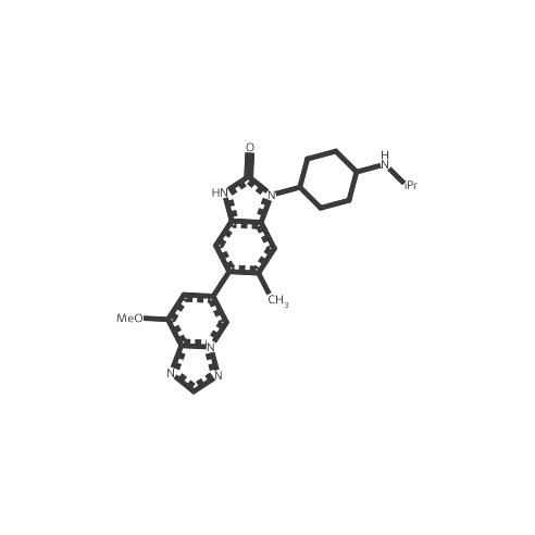 COc1cc(-c2cc3[nH]c(=O)n(C4CCC(NC(C)C)CC4)c3cc2C)cn2ncnc12